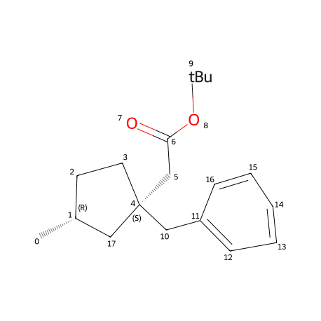 C[C@@H]1CC[C@@](CC(=O)OC(C)(C)C)(Cc2ccccc2)C1